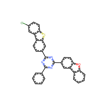 Clc1ccc2sc3cc(-c4nc(-c5ccccc5)nc(-c5ccc6oc7ccccc7c6c5)n4)ccc3c2c1